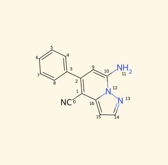 N#Cc1c(-c2ccccc2)cc(N)n2nccc12